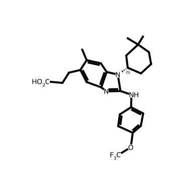 Cc1cc2c(cc1CCC(=O)O)nc(Nc1ccc(OC(F)(F)F)cc1)n2[C@H]1CCCC(C)(C)C1